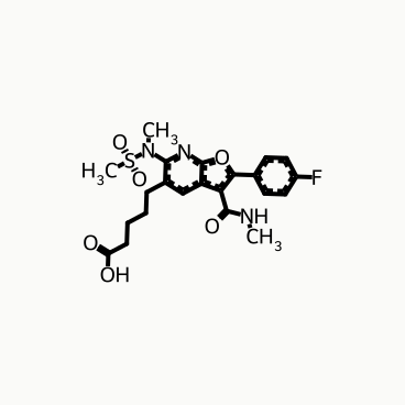 CNC(=O)c1c(-c2ccc(F)cc2)oc2nc(N(C)S(C)(=O)=O)c(CCCCC(=O)O)cc12